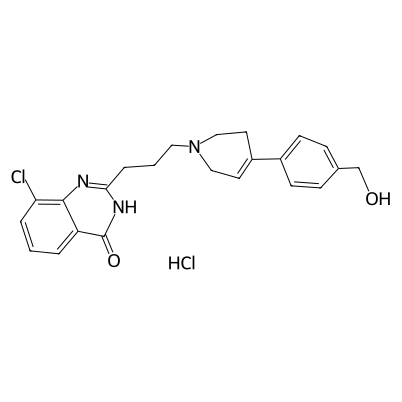 Cl.O=c1[nH]c(CCCN2CC=C(c3ccc(CO)cc3)CC2)nc2c(Cl)cccc12